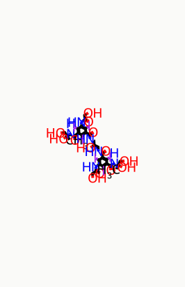 CC(O)(CO)NC(=O)c1c(I)c(NC(=O)CO)c(I)c(C(=O)NCC(O)CNC(=O)c2c(I)c(NC(=O)CO)c(I)c(C(=O)NC(C)(O)CO)c2I)c1I